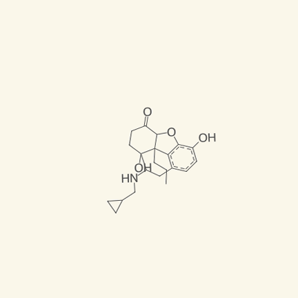 CCCC12c3c4ccc(O)c3OC1C(=O)CCC2(O)C(NCC1CC1)C4